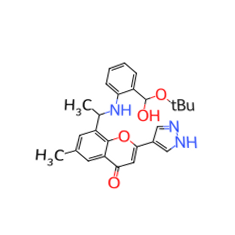 Cc1cc(C(C)Nc2ccccc2C(O)OC(C)(C)C)c2oc(-c3cn[nH]c3)cc(=O)c2c1